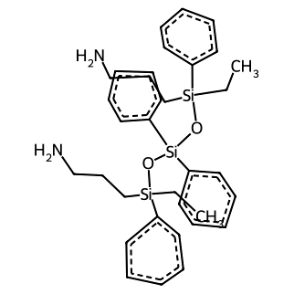 CC[Si](CCCN)(O[Si](O[Si](CC)(CCCN)c1ccccc1)(c1ccccc1)c1ccccc1)c1ccccc1